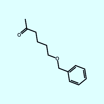 CC(=O)CCCCOCc1ccccc1